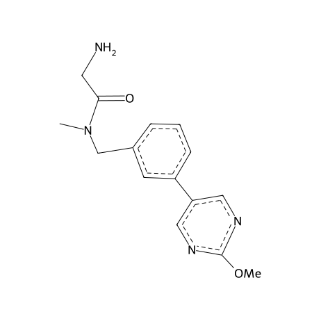 COc1ncc(-c2cccc(CN(C)C(=O)CN)c2)cn1